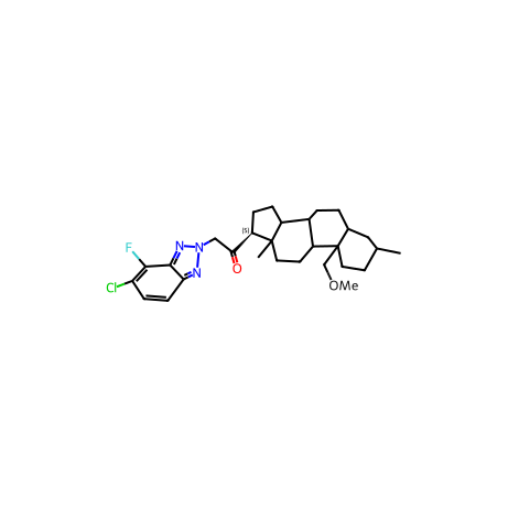 COCC12CCC(C)CC1CCC1C2CCC2(C)C1CC[C@@H]2C(=O)Cn1nc2ccc(Cl)c(F)c2n1